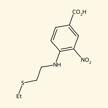 CCSCCNc1ccc(C(=O)O)cc1[N+](=O)[O-]